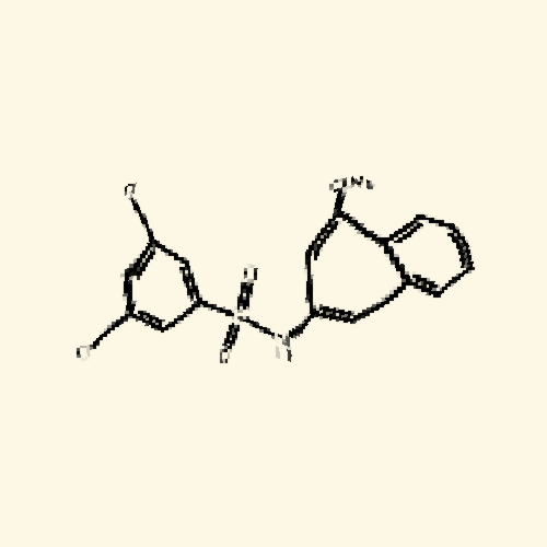 COc1cc(NS(=O)(=O)c2cc(Cl)cc(Cl)c2)cc2ccccc12